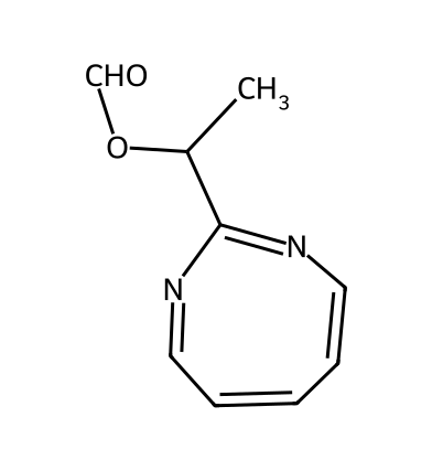 CC(OC=O)C1=NC=CC=CC=N1